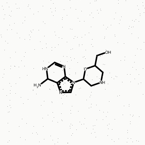 NC1NC=Nc2c1ncn2C1CNCC(CO)O1